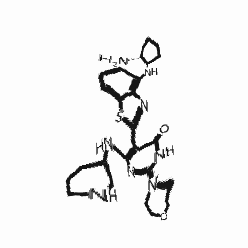 N[C@@H]1CCCC[C@@H]1Nc1cccc2sc(-c3c(NC4CCCNC4)nc(N4CCOCC4)[nH]c3=O)nc12